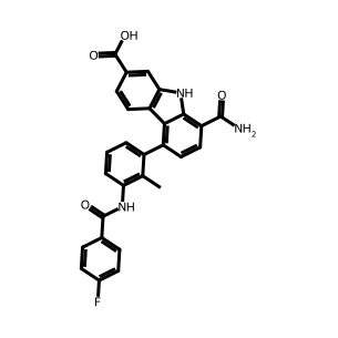 Cc1c(NC(=O)c2ccc(F)cc2)cccc1-c1ccc(C(N)=O)c2[nH]c3cc(C(=O)O)ccc3c12